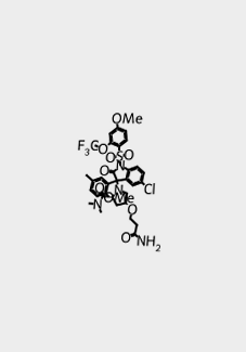 COc1ccc(S(=O)(=O)N2C(=O)C(c3cc(C)ccc3OC)(N3C[C@H](OCCC(N)=O)C[C@H]3C(=O)N(C)C)c3cc(Cl)ccc32)c(OC(F)(F)F)c1